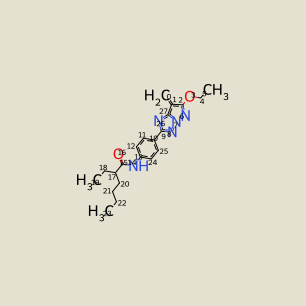 C=c1c(OCC)nn2nc(-c3ccc(NC(=O)C(CC)CCCC)cc3)nc12